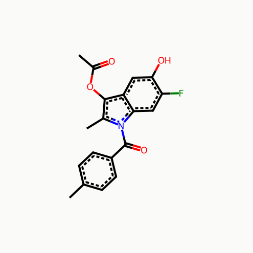 CC(=O)Oc1c(C)n(C(=O)c2ccc(C)cc2)c2cc(F)c(O)cc12